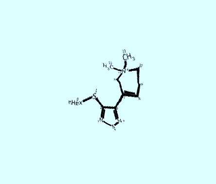 CCCCCCSc1nsnc1C1=CCC[N+](C)(C)C1